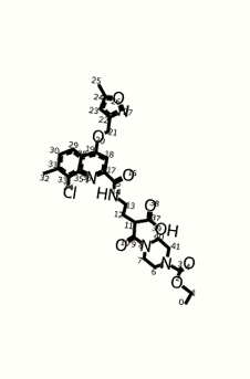 CCOC(=O)N1CCN(C(=O)C(CCNC(=O)c2cc(OCc3cc(C)on3)c3ccc(C)c(Cl)c3n2)C(=O)O)CC1